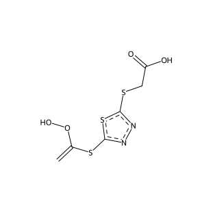 C=C(OO)Sc1nnc(SCC(=O)O)s1